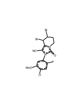 COc1cc(-n2c(C#N)c3n(c2=O)CCC(Br)C3Br)c(F)cc1Cl